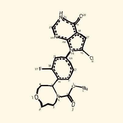 CC(C)(C)OC(=O)N1CCOCC1c1ccc(-n2c(Cl)cc3c(=O)[nH]cnc32)cc1F